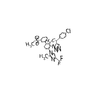 CCS(=O)(=O)c1cccc(-c2ccc(-n3cc(C(F)F)nc3C)c(-n3nncc3C(C)c3ccc(Cl)cc3)c2)c1